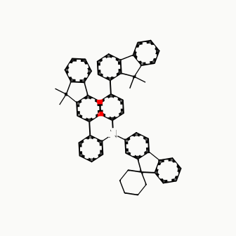 CC1(C)c2ccccc2-c2ccc(-c3ccccc3N(c3ccc(-c4cccc5c4C(C)(C)c4ccccc4-5)cc3)c3ccc4c(c3)C3(CCCCC3)c3ccccc3-4)cc21